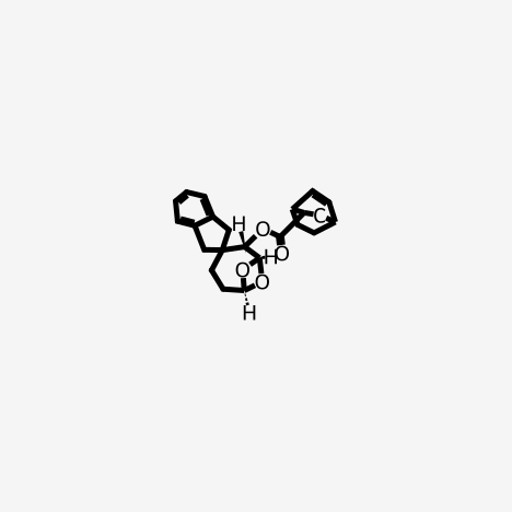 O=C(O[C@@H]1[C@H]2O[C@@H](CCC13Cc1ccccc1C3)O2)C1CC2C=CC1CC2